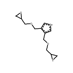 c1[se]cc(COCC2CS2)c1COCC1CS1